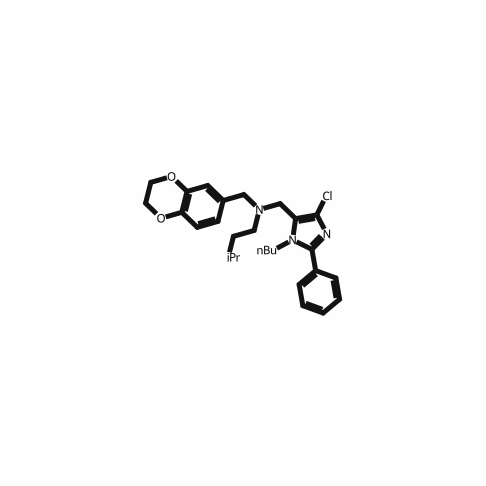 CCCCn1c(-c2ccccc2)nc(Cl)c1CN(CCC(C)C)Cc1ccc2c(c1)OCCO2